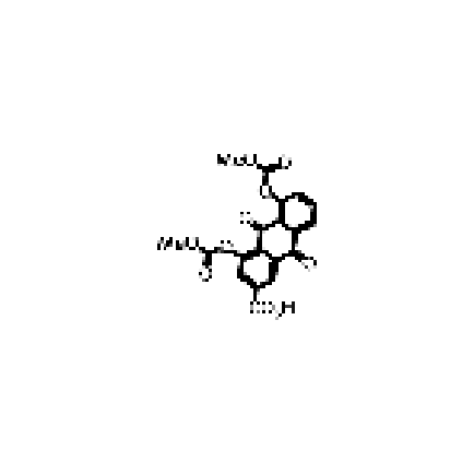 COC(=O)Oc1cccc2c1C(=O)c1c(OC(=O)OC)cc(C(=O)O)cc1C2=O